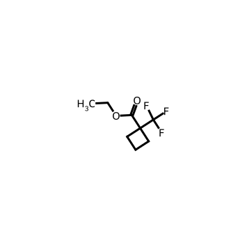 CCOC(=O)C1(C(F)(F)F)CCC1